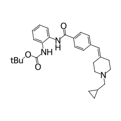 CC(C)(C)OC(=O)Nc1ccccc1NC(=O)c1ccc(C=C2CCN(CC3CC3)CC2)cc1